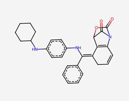 O=C1OC2C(=O)N1C1=C2C(=C(Nc2ccc(NC3CCCCC3)cc2)c2ccccc2)CC=C1